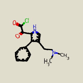 CN(C)CCc1c[nH]c(C(=O)C(=O)Cl)c1-c1ccccc1